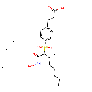 CCCCCCC(C(=O)NO)S(=O)(=O)c1ccc(CCC(=O)O)cc1